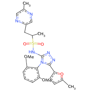 COc1cccc(OC)c1-n1c(NS(=O)(=O)C(C)Cc2cnc(C)cn2)nnc1-c1ccc(C)o1